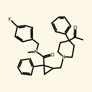 CC(=O)C1(c2ccccc2)CCN(CC2CC2(C(=O)N(C)Cc2ccc(F)cc2)c2ccccc2)CC1